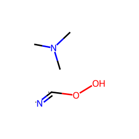 CN(C)C.[N]=[C]OO